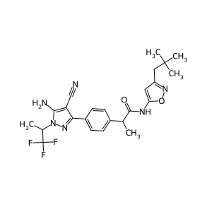 CC(C(=O)Nc1cc(CC(C)(C)C)no1)c1ccc(-c2nn(C(C)C(F)(F)F)c(N)c2C#N)cc1